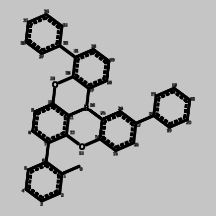 Cc1ccccc1-c1ccc2c3c1Oc1ccc(-c4ccccc4)cc1B3c1cccc(-c3ccccc3)c1O2